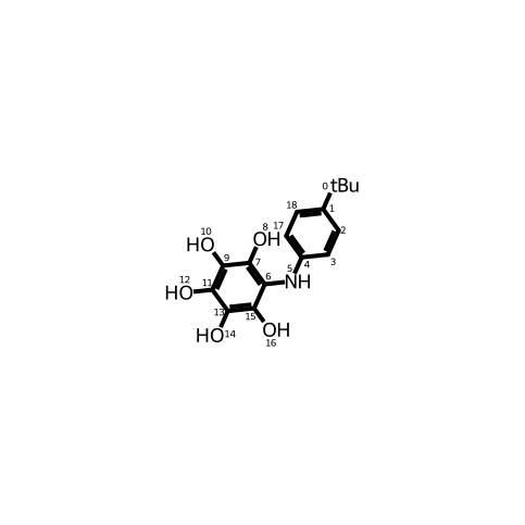 CC(C)(C)c1ccc(Nc2c(O)c(O)c(O)c(O)c2O)cc1